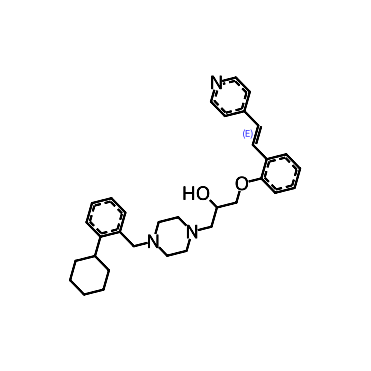 OC(COc1ccccc1/C=C/c1ccncc1)CN1CCN(Cc2ccccc2C2CCCCC2)CC1